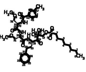 CCCCCCCCS(=O)(=O)OC[C@@](C)(O)C(=O)[C@H](CCc1ccccc1)NC(=O)[C@H](COC)NC(=O)[C@H](COC)NC(=O)c1cnc(C)s1